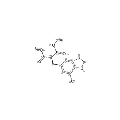 COC(=O)[C@H](Cc1cc(Cl)c2c(c1)OCO2)C(=O)OC(C)(C)C